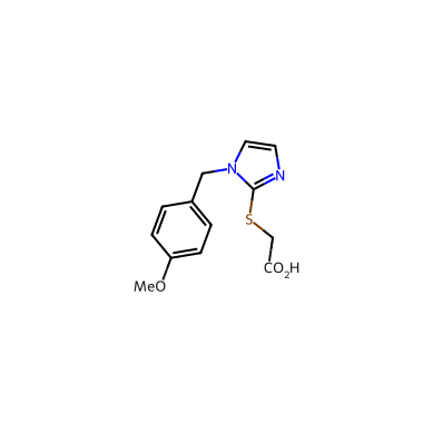 COc1ccc(Cn2ccnc2SCC(=O)O)cc1